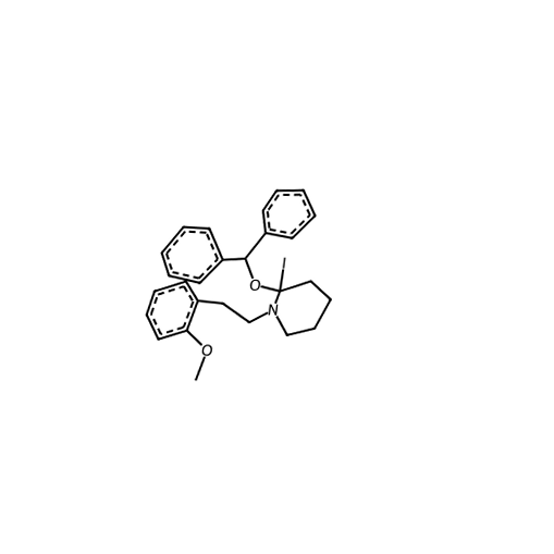 COc1ccccc1CCN1CCCCC1(I)OC(c1ccccc1)c1ccccc1